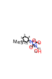 CSc1cccc(-n2oc(=O)n(CO)c2=O)c1